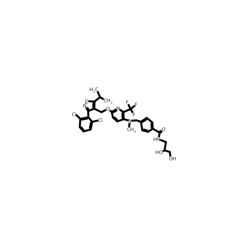 CC(C)c1onc(-c2c(Cl)cccc2Cl)c1COc1ccc(N(C)Cc2ccc(C(=O)NCC(O)CO)cc2)c(C(F)(F)F)n1